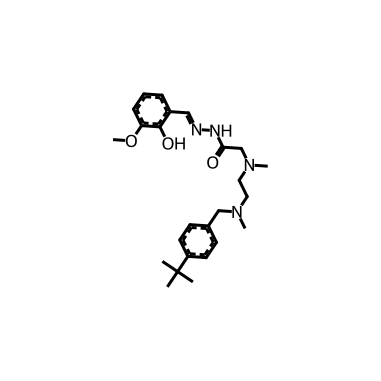 COc1cccc(C=NNC(=O)CN(C)CCN(C)Cc2ccc(C(C)(C)C)cc2)c1O